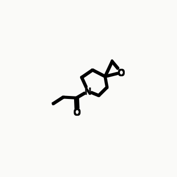 CCC(=O)N1CCC2(CC1)CO2